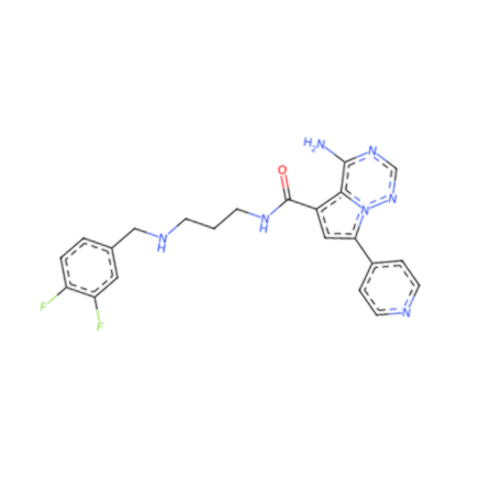 Nc1ncnn2c(-c3ccncc3)cc(C(=O)NCCCNCc3ccc(F)c(F)c3)c12